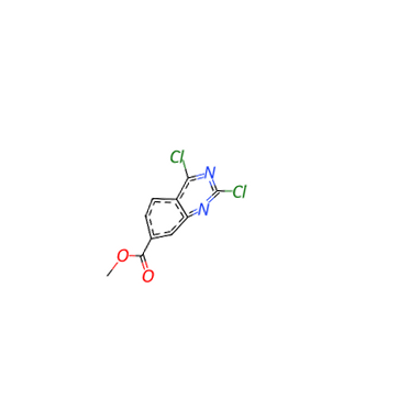 COC(=O)c1ccc2c(Cl)nc(Cl)nc2c1